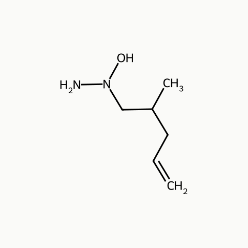 C=CCC(C)CN(N)O